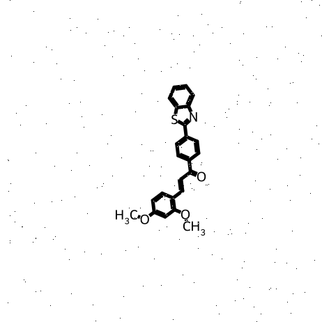 COc1ccc(C=CC(=O)c2ccc(-c3nc4ccccc4s3)cc2)c(OC)c1